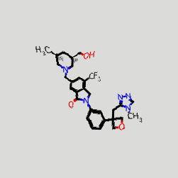 C[C@H]1C[C@@H](CO)CN(Cc2cc3c(c(C(F)(F)F)c2)CN(c2cccc(C4(Cc5nncn5C)COC4)c2)C3=O)C1